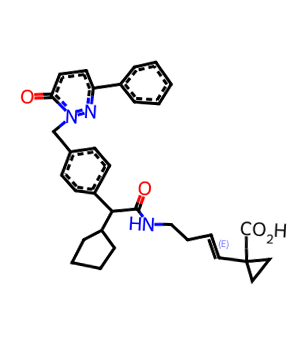 O=C(NCC/C=C/C1(C(=O)O)CC1)C(c1ccc(Cn2nc(-c3ccccc3)ccc2=O)cc1)C1CCCC1